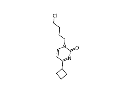 O=c1nc(C2CCC2)ccn1CCCCCl